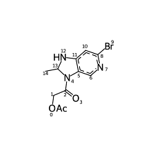 CC(=O)OCC(=O)N1c2cnc(Br)cc2NC1C